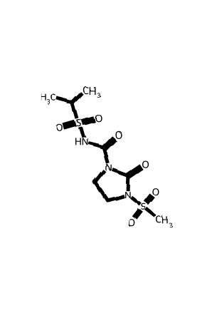 CC(C)S(=O)(=O)NC(=O)N1CCN(S(C)(=O)=O)C1=O